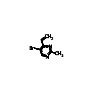 C=Cc1nc(C)ncc1Br